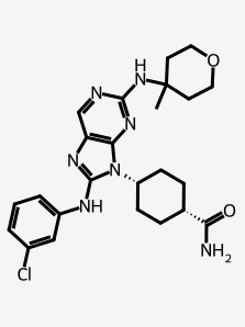 CC1(Nc2ncc3nc(Nc4cccc(Cl)c4)n([C@H]4CC[C@@H](C(N)=O)CC4)c3n2)CCOCC1